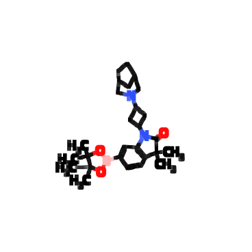 CC1(C)C(=O)N(C2CC(N3CC4CCC(C4)C3)C2)c2cc(B3OC(C)(C)C(C)(C)O3)ccc21